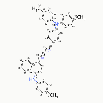 Cc1ccc(Nc2ccc(/C=C/C=C/c3ccc(N(c4ccc(C)cc4)c4ccc(C)cc4)cc3)c3ccccc23)cc1